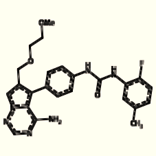 COCCOCc1cn2ncnc(N)c2c1-c1ccc(NC(=O)Nc2cc(C)ccc2F)cc1